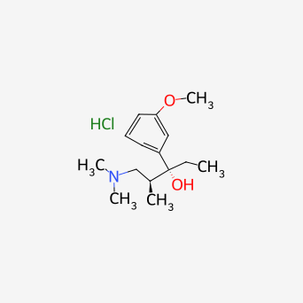 CC[C@](O)(c1cccc(OC)c1)[C@@H](C)CN(C)C.Cl